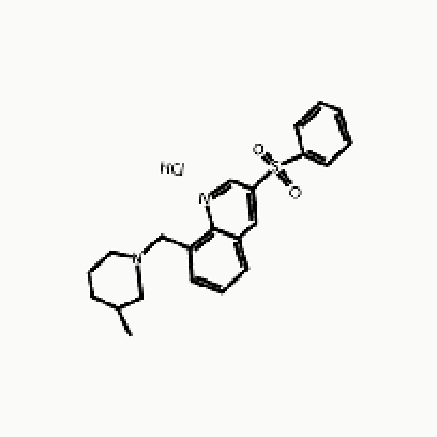 CC1CCCN(Cc2cccc3cc(S(=O)(=O)c4ccccc4)cnc23)C1.Cl